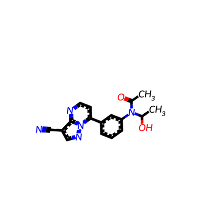 CC(=O)N(c1cccc(-c2ccnc3c(C#N)cnn23)c1)C(C)O